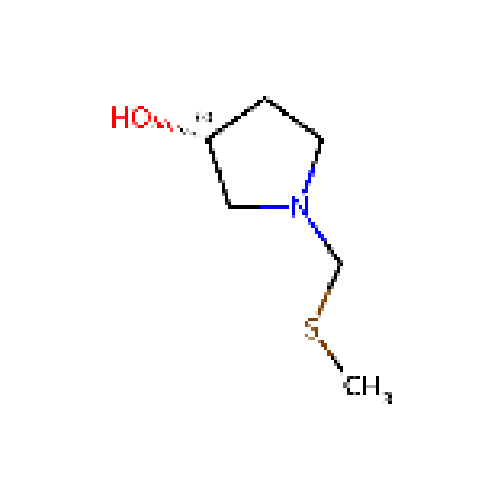 CSCN1CC[C@@H](O)C1